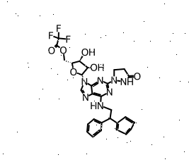 O=C1CCN(c2nc(NCC(c3ccccc3)c3ccccc3)c3ncn([C@@H]4O[C@H](COC(=O)C(F)(F)F)[C@@H](O)[C@H]4O)c3n2)N1